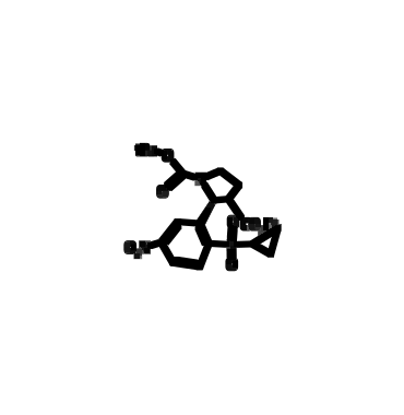 CCOC(=O)C1CCN(C(=O)OC(C)(C)C)[C@@H]1c1cc([N+](=O)[O-])ccc1S(=O)(=O)C1CC1